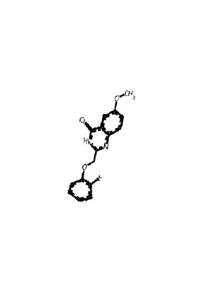 COc1ccc2nc(COc3ccccc3F)[nH]c(=O)c2c1